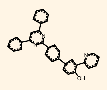 Oc1ccc(-c2ccc(-c3nc(-c4ccccc4)cc(-c4ccccc4)n3)cc2)cc1-c1ccccn1